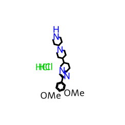 COc1ccc(-c2cn3c(n2)CCC(C2CCN(C4CCNCC4)CC2)C3)cc1OC.Cl.Cl